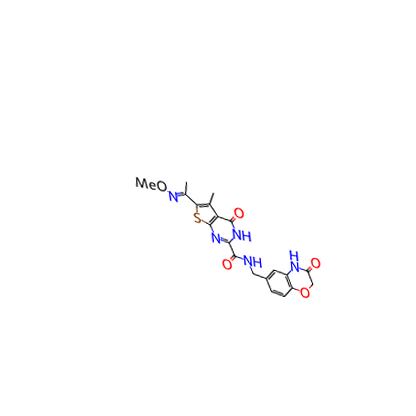 CON=C(C)c1sc2nc(C(=O)NCc3ccc4c(c3)NC(=O)CO4)[nH]c(=O)c2c1C